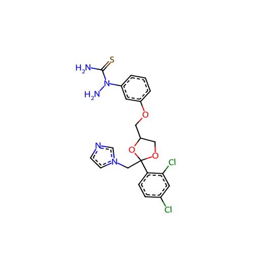 NC(=S)N(N)c1cccc(OCC2COC(Cn3ccnc3)(c3ccc(Cl)cc3Cl)O2)c1